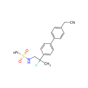 CCCS(=O)(=O)NCC(C)(F)c1ccc(-c2ccc(CC#N)cc2)cc1